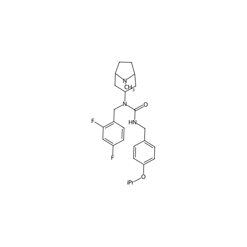 CC(C)Oc1ccc(CNC(=O)N(Cc2ccc(F)cc2F)C2CC3CCC(C2)N3C)cc1